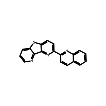 c1ccc2nc(-c3ccc4sc5cccnc5c4n3)ccc2c1